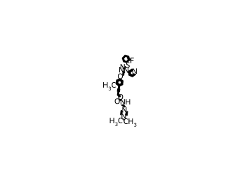 Cc1cc(OCc2nnc(SC3CCCC=C3F)n2-c2cccnc2)ccc1C#CCOC(=O)NCCN1CCN(C(C)C)CC1